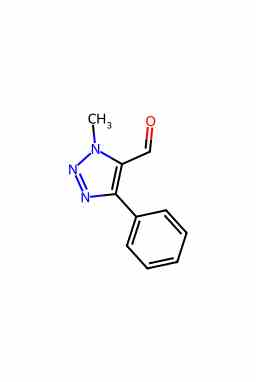 Cn1nnc(-c2ccccc2)c1C=O